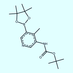 Cc1c(NC(=O)OC(C)(C)C)cncc1B1OC(C)(C)C(C)(C)O1